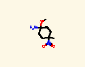 COC1(N)CCC(C)([N+](=O)[O-])CC1